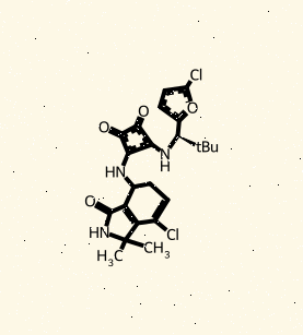 CC1(C)NC(=O)C2=C1C(Cl)=CCC2Nc1c(N[C@@H](c2ccc(Cl)o2)C(C)(C)C)c(=O)c1=O